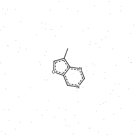 Cc1coc2cncnc12